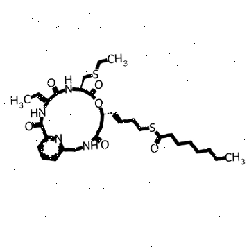 C/C=C1\NC(=O)c2cccc(n2)CNC(=O)C[C@@H](/C=C/CCSC(=O)CCCCCCC)OC(=O)[C@H](CSCC)NC1=O